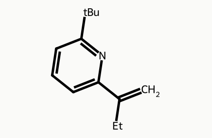 C=C(CC)c1cccc(C(C)(C)C)n1